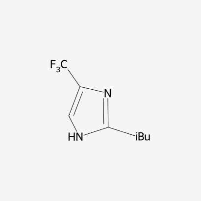 CCC(C)c1nc(C(F)(F)F)c[nH]1